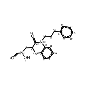 O=CN(O)CC1Sc2ccccc2N(CCCc2ccccc2)C1=O